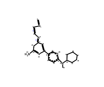 C=N/C=C\N=C1\C=C(c2ccc(N(C)C3CCCCC3)nc2)N=C(N)C1